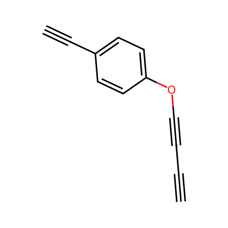 C#CC#COc1ccc(C#C)cc1